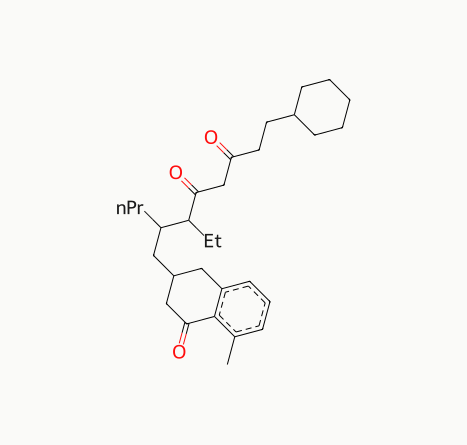 CCCC(CC1CC(=O)c2c(C)cccc2C1)C(CC)C(=O)CC(=O)CCC1CCCCC1